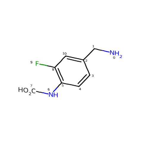 NCc1ccc(NC(=O)O)c(F)c1